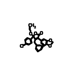 C=CCOC1(c2ccc(Cl)cc2)OC(=O)C(c2ccc3c(c2)OCO3)=C1Cc1ccccc1